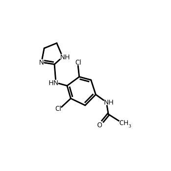 CC(=O)Nc1cc(Cl)c(NC2=NCCN2)c(Cl)c1